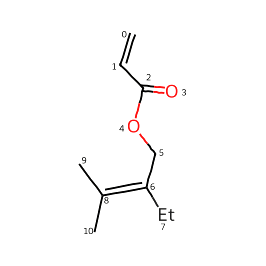 C=CC(=O)OCC(CC)=C(C)C